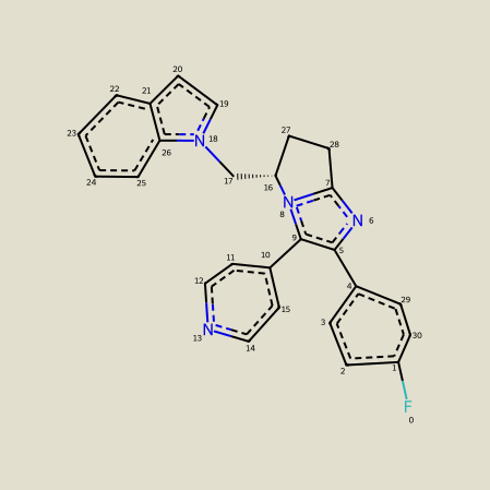 Fc1ccc(-c2nc3n(c2-c2ccncc2)[C@H](Cn2ccc4ccccc42)CC3)cc1